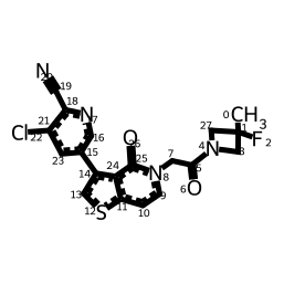 CC1(F)CN(C(=O)Cn2ccc3scc(-c4cnc(C#N)c(Cl)c4)c3c2=O)C1